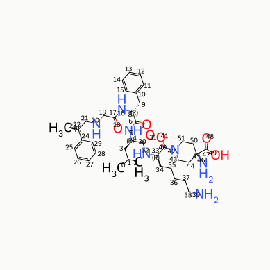 CC(C)C[C@@H](NC(=O)[C@@H](Cc1ccccc1)NC(=O)CNC[C@H](C)c1ccccc1)C(=O)N[C@H](CCCCCN)C(=O)N1CCC(N)(C(=O)O)CC1